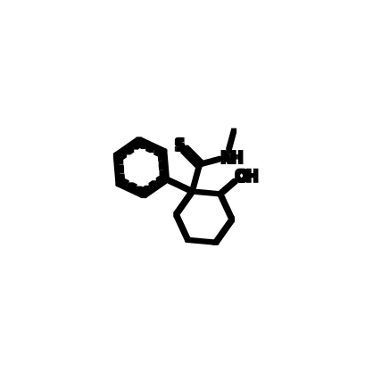 CNC(=S)C1(c2ccccc2)CCCCC1O